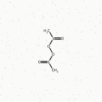 CS(=O)OOS(C)=O